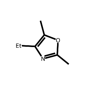 CCc1nc(C)oc1C